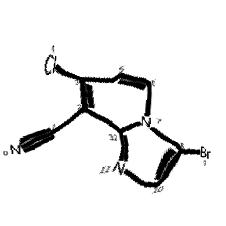 N#Cc1c(Cl)ccn2c(Br)cnc12